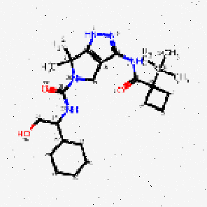 CC1(C)c2[nH]nc(NC(=O)C3([Si](C)(C)C)CCC3)c2CN1C(=O)NC(CO)C1CCCCC1